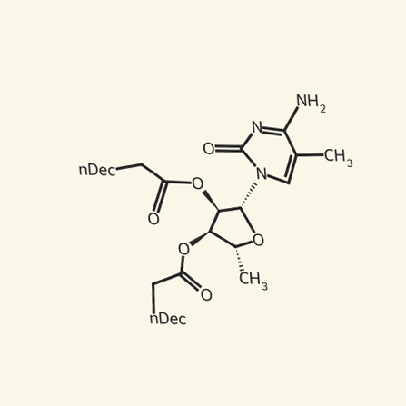 CCCCCCCCCCCC(=O)O[C@@H]1[C@H](OC(=O)CCCCCCCCCCC)[C@@H](C)O[C@H]1n1cc(C)c(N)nc1=O